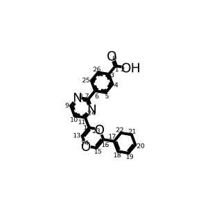 O=C(O)c1ccc(-c2nccc(C3=COC=C(C4=CC=CCC4)O3)n2)cc1